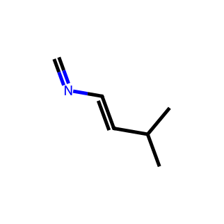 C=N/C=C/C(C)C